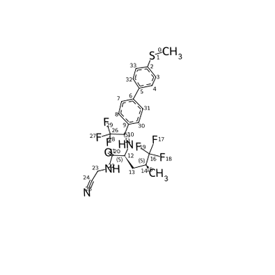 CSc1ccc(-c2ccc([C@H](N[C@@H](C[C@H](C)C(F)(F)F)C(=O)NCC#N)C(F)(F)F)cc2)cc1